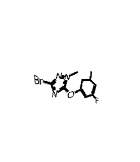 CC1C=C(F)C=C(Oc2nc(Br)nn2C)C1